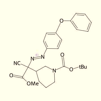 COC(=O)C(C#N)(/N=N/c1ccc(Oc2ccccc2)cc1)C1CCCN(C(=O)OC(C)(C)C)C1